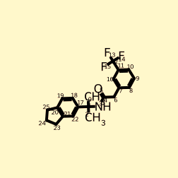 CC(C)(NC(=O)Cc1cccc(C(F)(F)F)c1)c1ccc2c(c1)CCC2